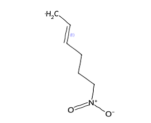 [CH2]/C=C/CCC[N+](=O)[O-]